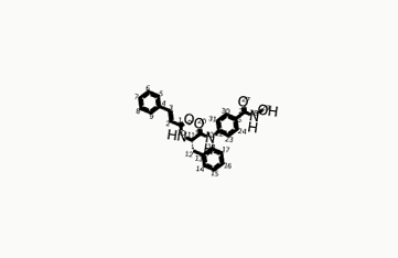 O=C(C=Cc1ccccc1)N[C@@H](Cc1ccccc1)C(=O)Nc1ccc(C(=O)NO)cc1